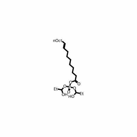 CCCCCCCCC=CCCCCCCCC(=O)OP(=O)(OC(O)CC)OC(O)CC